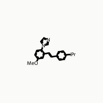 COc1ccc(-n2ccnc2)c(/C=C/c2ccc(C(C)C)cc2)c1